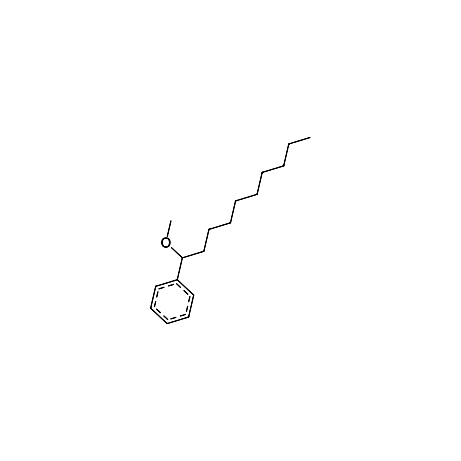 CCCCCCCCCC(OC)c1ccccc1